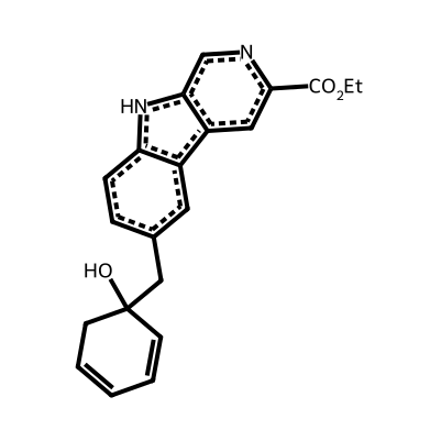 CCOC(=O)c1cc2c(cn1)[nH]c1ccc(CC3(O)C=CC=CC3)cc12